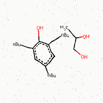 CC(O)CO.CCCCc1cc(CCCC)c(O)c(CCCC)c1